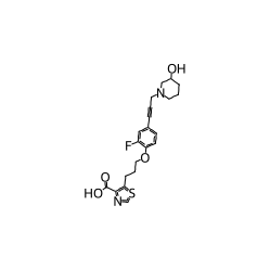 O=C(O)c1ncsc1CCCOc1ccc(C#CCN2CCCC(O)C2)cc1F